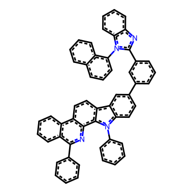 c1ccc(-c2nc3c(ccc4c5cc(-c6cccc(-c7nc8ccccc8n7-c7cccc8ccccc78)c6)ccc5n(-c5ccccc5)c43)c3ccccc23)cc1